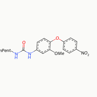 CCCCCNC(=O)Nc1ccc(Oc2ccc([N+](=O)[O-])cc2)c(OC)c1